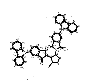 CC1CCC(N2C(=O)c3cc(-n4c5ccccc5c5ccccc54)ccc3C2O)C1N1C(=O)c2ccc(-n3c4ccccc4c4ccccc43)cc2C1=O